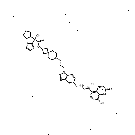 O=C(OC1CC2(CCN(CCCn3nnc4cc(CNC[C@H](O)c5ccc(O)c6[nH]c(=O)ccc56)ccc43)CC2)C1)C(O)(c1cccs1)C1CCCC1